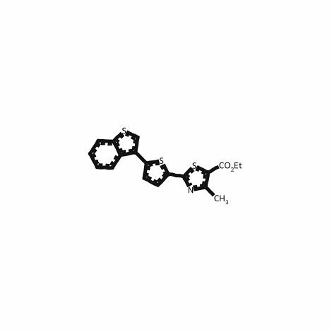 CCOC(=O)c1sc(-c2ccc(-c3csc4ccccc34)s2)nc1C